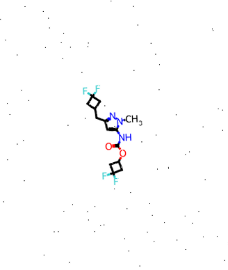 Cn1nc(CC2CC(F)(F)C2)cc1NC(=O)OC1CC(F)(F)C1